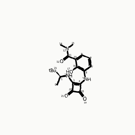 C[C@H](Nc1c(Nc2cccc(C(=O)N(C)C)c2O)c(=O)c1=O)C(C)(C)C